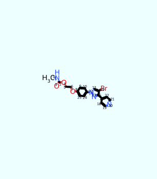 CNC(=O)OCCOc1ccc(-n2cc(Br)c(-c3ccncc3)n2)cc1